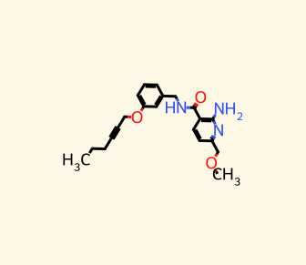 CCCC#CCOc1cccc(CNC(=O)c2ccc(COC)nc2N)c1